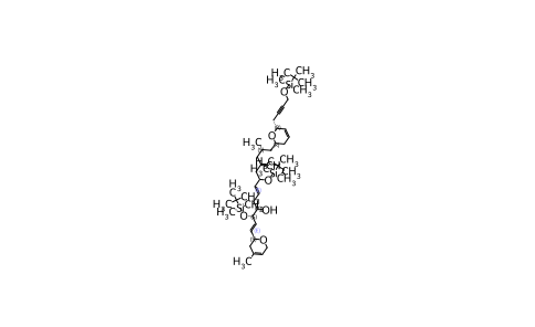 C=C(CC(/C=C/C[C@@H](O)[C@H](/C=C/[C@@H]1CC(C)=CCO1)O[Si](C)(C)C(C)(C)C)O[Si](C)(C)C(C)(C)C)C[C@H](C)C[C@@H]1CC=C[C@@H](CC#CCO[Si](C)(C)C(C)(C)C)O1